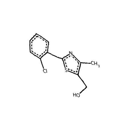 Cc1nc(-c2ccccc2Cl)sc1CO